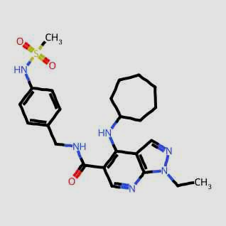 CCn1ncc2c(NC3CCCCCC3)c(C(=O)NCc3ccc(NS(C)(=O)=O)cc3)cnc21